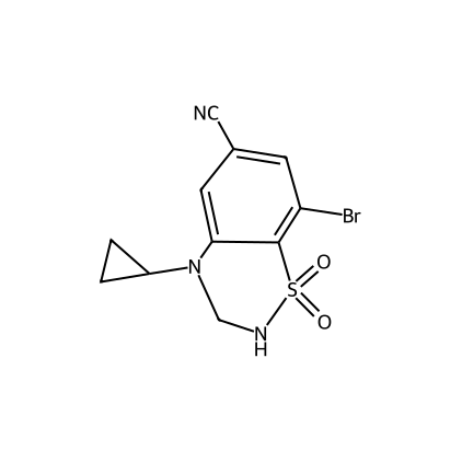 N#Cc1cc(Br)c2c(c1)N(C1CC1)CNS2(=O)=O